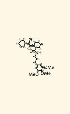 COc1cc(CCCNC(=O)C2CCCCN2C(=O)C(=O)C2CCCCC2)cc(OC)c1OC